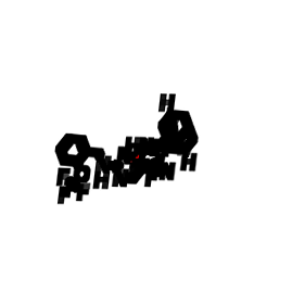 N#Cc1cnc(NCc2ccccc2OC(F)(F)F)nc1NCC12CC3C[C@H](C1)C(NCC(F)(F)F)[C@@H](C3)C2